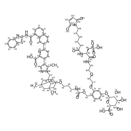 Cc1c(-c2ccc(-c3ccc4cccc(C(=O)Nc5nc6ccccc6s5)c4c3)nc2C(=O)O)cnn1CC12CC3(C)CC(C)(C1)CC(OCCCNC(=O)OCc1ccc(O[C@@H]4O[C@H](C(=O)O)[C@@H](O)[C@H](O)[C@H]4O)cc1OCCOCCNC(=O)[C@H](CS(=O)(=O)O)NC(=O)CCCCCN1C(=O)C=CC1=O)(C3)C2